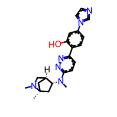 CN(c1ccc(-c2ccc(-n3ccnc3)cc2O)nn1)[C@@H]1C[C@]2(C)C[C@H]1CN2C